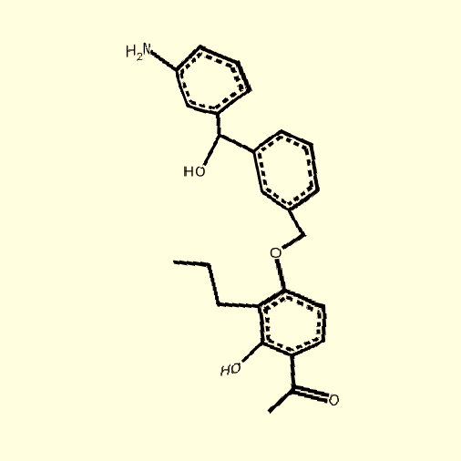 CCCc1c(OCc2cccc(C(O)c3cccc(N)c3)c2)ccc(C(C)=O)c1O